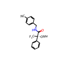 CO[C@](C(=O)NCc1ccc(C#N)cc1)(c1ccccc1)C(F)(F)F